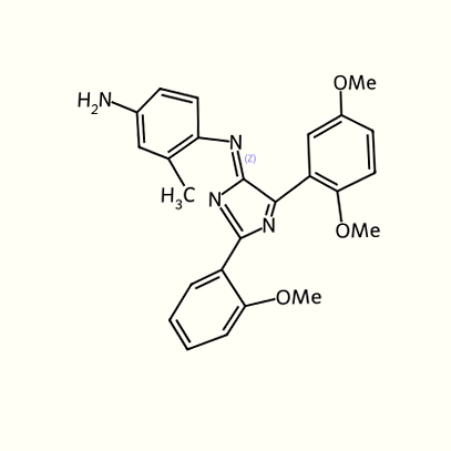 COc1ccc(OC)c(C2=NC(c3ccccc3OC)=N/C2=N\c2ccc(N)cc2C)c1